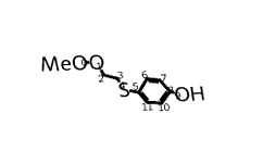 COOCCSc1ccc(O)cc1